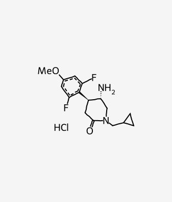 COc1cc(F)c([C@@H]2CC(=O)N(CC3CC3)C[C@H]2N)c(F)c1.Cl